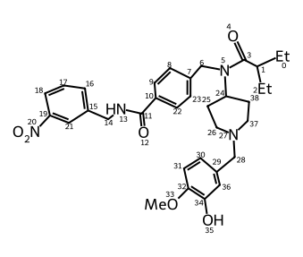 CCC(CC)C(=O)N(Cc1ccc(C(=O)NCc2cccc([N+](=O)[O-])c2)cc1)C1CCN(Cc2ccc(OC)c(O)c2)CC1